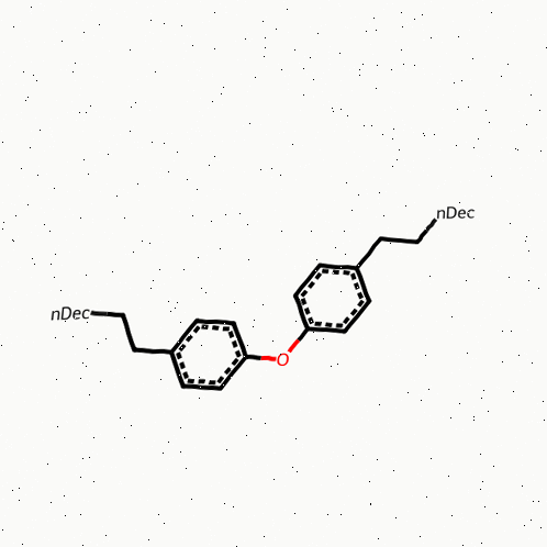 CCCCCCCCCCCCc1ccc(Oc2ccc(CCCCCCCCCCCC)cc2)cc1